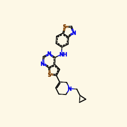 C1=C(c2cc3c(Nc4ccc5scnc5c4)ncnc3s2)CN(CC2CC2)CC1